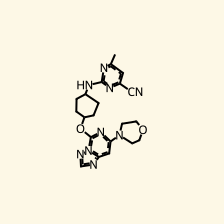 Cc1cc(C#N)nc(NC2CCC(Oc3nc(N4CCOCC4)cc4ncnn34)CC2)n1